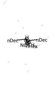 CCCCCCCCCCCCCCCCCC(=O)O[SiH](OOC(C)C(CCCCCC)SC#N)OC(=O)CCCCCCCCCCCCCCCCC